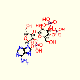 Nc1ncnc2c1ncn2[C@@H]1O[C@H](CO)[C@@H](O[C@H]2O[C@H](CO)[C@@H](OP(=O)(O)O)[C@H](OP(=O)(O)O)[C@H]2O)[C@H]1OP(=O)(O)O